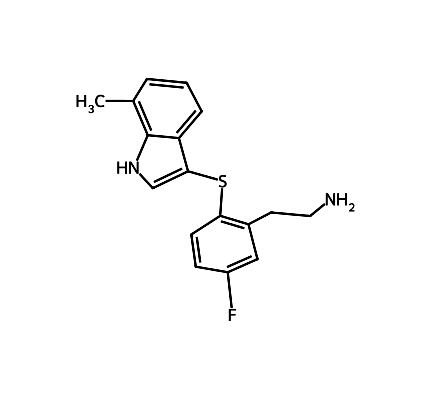 Cc1cccc2c(Sc3ccc(F)cc3CCN)c[nH]c12